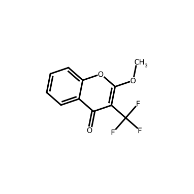 COc1oc2ccccc2c(=O)c1C(F)(F)F